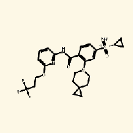 N=[S@@](=O)(c1ccc(C(=O)Nc2cccc(OCCC(F)(F)F)n2)c(N2CCC3(CC2)CC3)c1)C1CC1